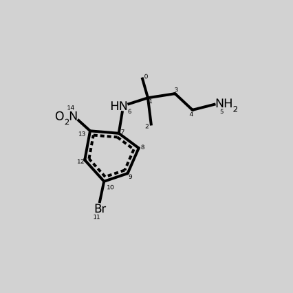 CC(C)(CCN)Nc1ccc(Br)cc1[N+](=O)[O-]